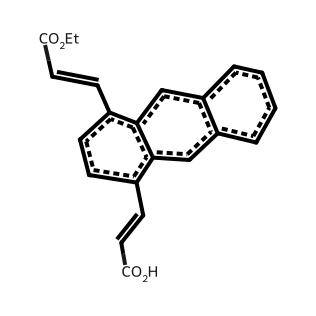 CCOC(=O)C=Cc1ccc(C=CC(=O)O)c2cc3ccccc3cc12